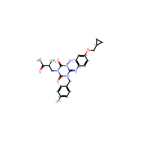 C[C@@H](Cn1c(=O)n(N)/c(=N\c2ccc(OCC3CC3)cc2)n(Cc2ccc(Cl)cc2)c1=O)C(=O)N=O